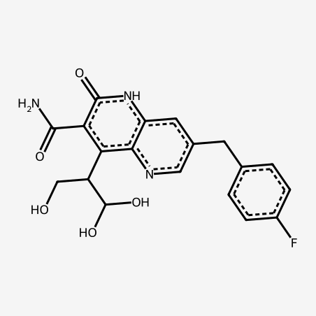 NC(=O)c1c(C(CO)C(O)O)c2ncc(Cc3ccc(F)cc3)cc2[nH]c1=O